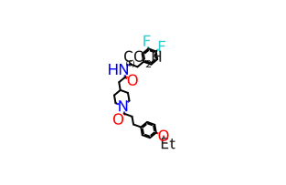 CCOc1ccc(CCC(=O)N2CCC(CC(=O)N[C@@H](Cc3ccc(F)c(F)c3)C(=O)O)CC2)cc1